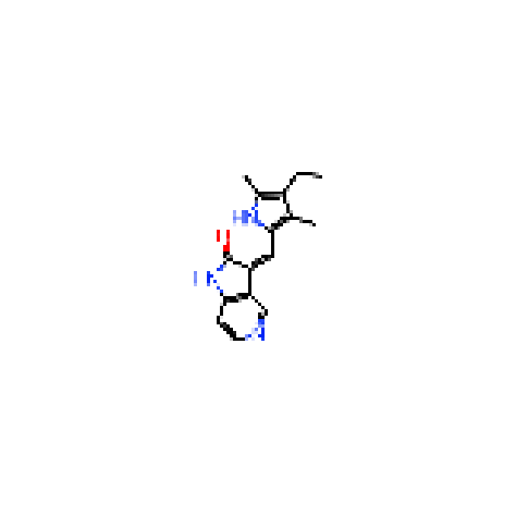 CCc1c(C)[nH]c(C=C2C(=O)Nc3ccncc32)c1C